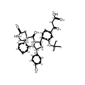 CC(C)(C)Oc1cc(C(=O)CC(=O)O)ccc1C1=N[C@@H](c2ccc(Cl)cc2)[C@@H](c2ccccn2)N1C(=O)N1CCNC(=O)C1